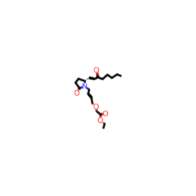 CCCCCC(=O)C=C[C@H]1CCC(=O)N1CC=CCOCC(=O)OCC